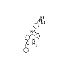 CCN(CC)CC1CCC(c2nc(-c3cccc(OCc4ccccc4)c3)c3c(N)nccn23)CC1